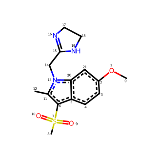 COc1ccc2c(S(C)(=O)=O)c(C)n(CC3=NCCN3)c2c1